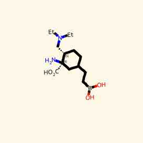 CCN(CC)C[C@@H]1CCC(CCB(O)O)C[C@]1(N)C(=O)O